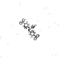 O=C([O-])c1ccc(SSc2ccc(C(=O)[O-])cn2)nc1.[Li+].[Li+]